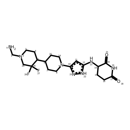 BCN1CCC(C2CCN(c3cc(NC4CCC(=O)NC4=O)[nH]n3)CC2)C(F)(F)C1